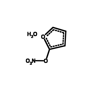 O.O=[N+]([O-])Oc1ccco1